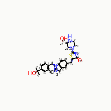 CC(C)(O)c1ccc(Cn2ncc3cc(/C=C4\SC(N5CCN[C@@H](CO)C5)=NC4=O)ccc32)c(C(F)(F)F)c1